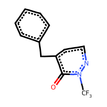 O=c1c(Cc2ccccc2)ccnn1C(F)(F)F